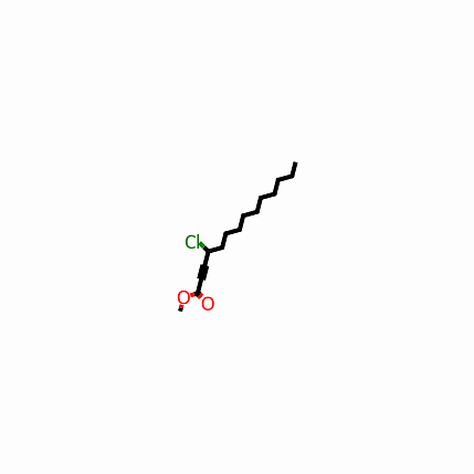 CCCCCCCCCCC(Cl)C#CC(=O)OC